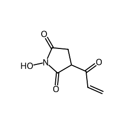 C=CC(=O)C1CC(=O)N(O)C1=O